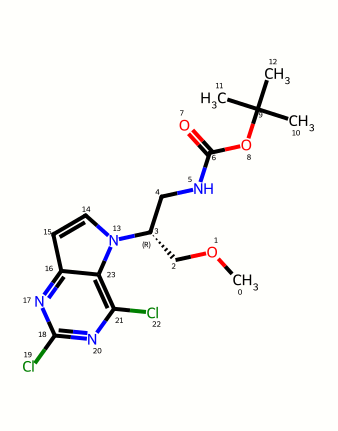 COC[C@@H](CNC(=O)OC(C)(C)C)n1ccc2nc(Cl)nc(Cl)c21